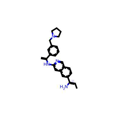 C=C(Nc1cc2cc(/C(N)=C/C)ccc2cn1)c1cccc(CN2CCCC2)c1